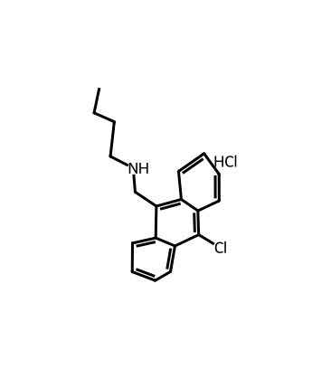 CCCCNCc1c2ccccc2c(Cl)c2ccccc12.Cl